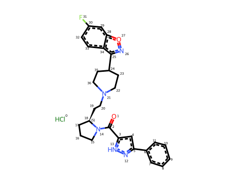 Cl.O=C(c1cc(-c2ccccc2)n[nH]1)N1CCC[C@H]1CCN1CCC(c2noc3cc(F)ccc23)CC1